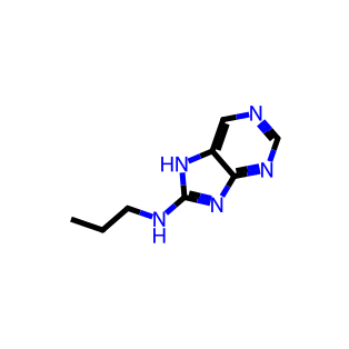 CCCNc1nc2ncncc2[nH]1